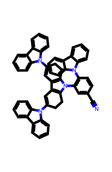 N#Cc1ccc(-n2c3ccccc3c3ccccc32)c(-n2c3c(c4c2CCC(n2c5ccccc5c5ccccc52)=C4)C=C(n2c4ccccc4c4ccccc42)CC3)c1